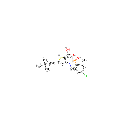 Cc1cc(Cl)ccc1P(C)(=O)N(C)c1cc(C#CC(C)(C)C)sc1C(=O)O